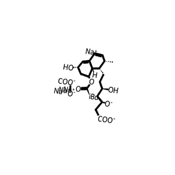 CC[C@H](C)C(=O)O[C@H]1C[C@H](O)C=C2C=C[C@H](C)[C@H](CC[C@@H](O)C[C@@H]([O-])CC(=O)[O-])[C@H]21.O=C([O-])[O-].[Na+].[Na+].[Na+].[Na+]